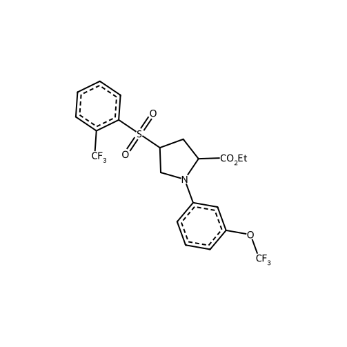 CCOC(=O)C1CC(S(=O)(=O)c2ccccc2C(F)(F)F)CN1c1cccc(OC(F)(F)F)c1